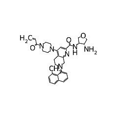 C=CC(=O)N1CCN(c2cc(C(=O)N[C@H]3COC[C@@H]3N)nc3c2CCN(c2cccc4cccc(C)c24)C3)CC1